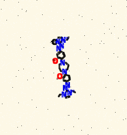 CCn1cc[n+](CC)c1/N=N/c1ccc(N2CCCN(c3ccc(/N=N/c4n(CC)cc[n+]4CC)cc3OC)CCC2)c(OC)c1